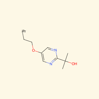 CC(C)CCOc1cnc(C(C)(C)O)nc1